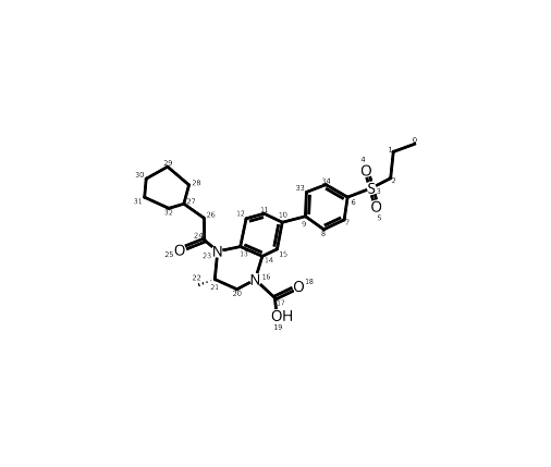 CCCS(=O)(=O)c1ccc(-c2ccc3c(c2)N(C(=O)O)C[C@H](C)N3C(=O)CC2CCCCC2)cc1